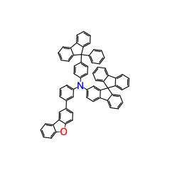 c1ccc(C2(c3ccc(N(c4cccc(-c5ccc6oc7ccccc7c6c5)c4)c4ccc5c(c4)C4(c6ccccc6-c6ccccc64)c4ccccc4-5)cc3)c3ccccc3-c3ccccc32)cc1